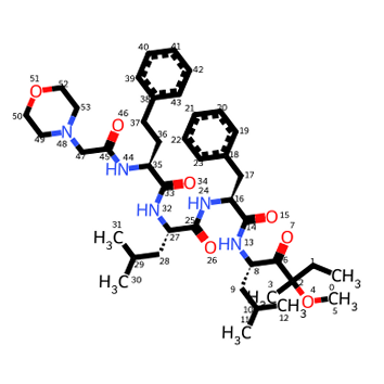 CCC(C)(OC)C(=O)[C@H](CC(C)C)NC(=O)[C@H](Cc1ccccc1)NC(=O)[C@H](CC(C)C)NC(=O)[C@H](CCc1ccccc1)NC(=O)CN1CCOCC1